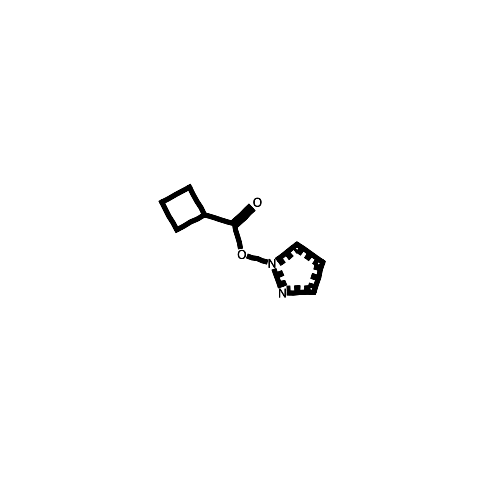 O=C(On1cccn1)C1CCC1